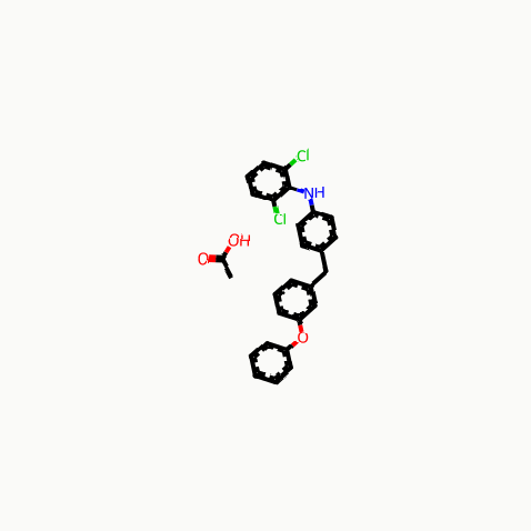 CC(=O)O.Clc1cccc(Cl)c1Nc1ccc(Cc2cccc(Oc3ccccc3)c2)cc1